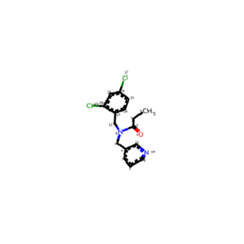 CCC(=O)N(Cc1cccnc1)Cc1ccc(Cl)cc1Cl